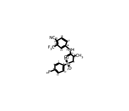 CC(CS(=O)(=O)c1ccc(F)cc1)C(=O)Nc1ccc(C#N)c(C(F)(F)F)c1